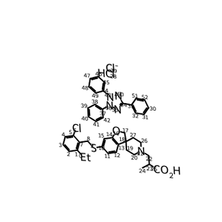 CCc1cccc(Cl)c1CSc1ccc2c(c1)OCC21CCN(CC(C)C(=O)O)CC1.Cl.[Cl-].c1ccc(-c2nn(-c3ccccc3)[n+](-c3ccccc3)n2)cc1